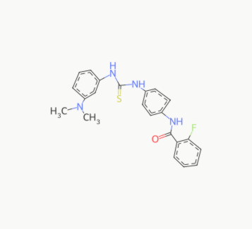 CN(C)c1cccc(NC(=S)Nc2ccc(NC(=O)c3ccccc3F)cc2)c1